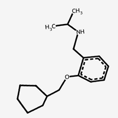 CC(C)NCc1ccccc1OCC1CCCCC1